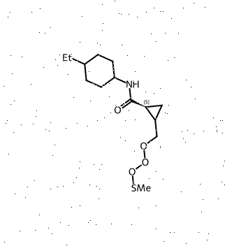 CCC1CCC(NC(=O)[C@H]2CC2COOOSC)CC1